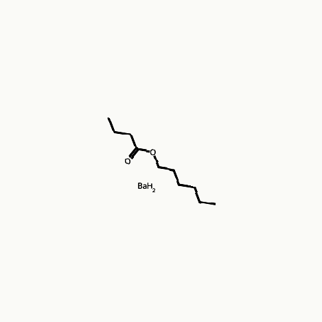 CCCCCCOC(=O)CCC.[BaH2]